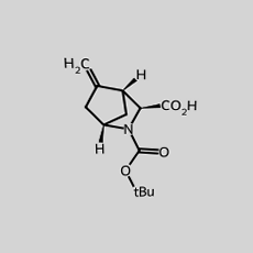 C=C1C[C@@H]2C[C@H]1[C@@H](C(=O)O)N2C(=O)OC(C)(C)C